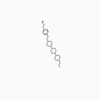 CCCC1CCC(C2CCC(C3CCC(CCc4ccc(CCF)cc4)CC3)CC2)CC1